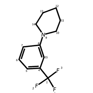 FC(F)(F)c1cccc(N2C[CH]CCC2)c1